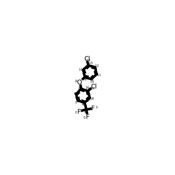 FC(F)(F)c1ccc(Oc2cccc(Cl)c2)c(Cl)c1